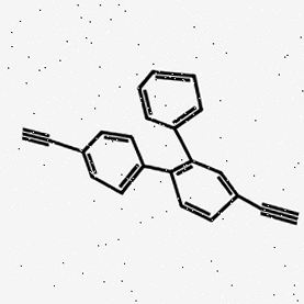 C#Cc1ccc(-c2ccc(C#C)cc2-c2ccccc2)cc1